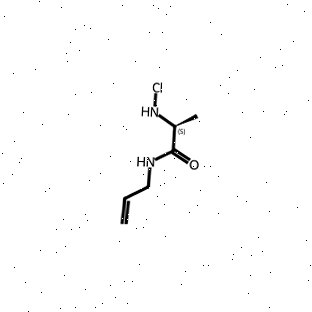 C=CCNC(=O)[C@H](C)NCl